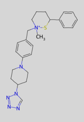 C[N+]1(Cc2ccc(N3CCC(n4cnnn4)CC3)cc2)CCCC(c2ccccc2)S1